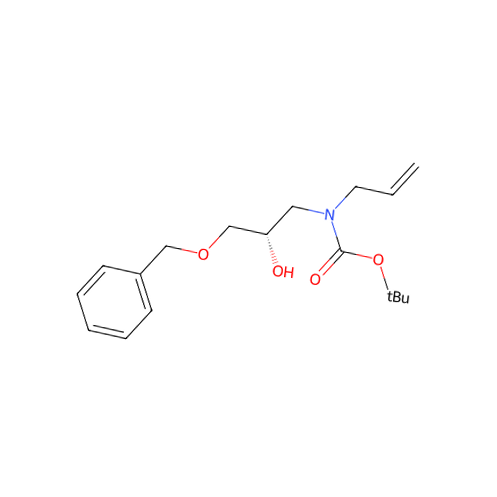 C=CCN(C[C@H](O)COCc1ccccc1)C(=O)OC(C)(C)C